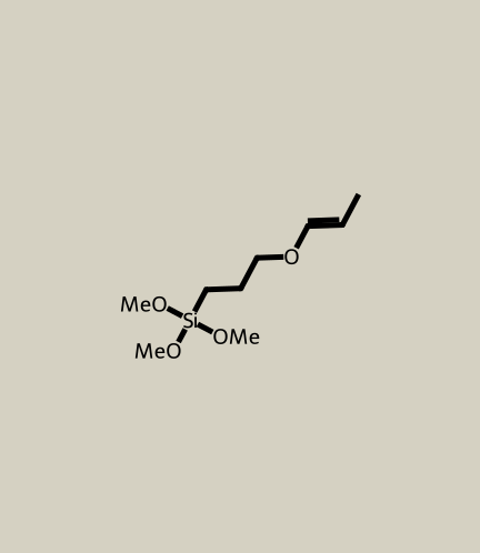 CC=COCCC[Si](OC)(OC)OC